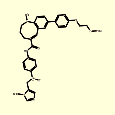 CCCCOCCOc1ccc(-c2ccc3c(c2)/C=C(/C(=O)Nc2ccc([S@@+]([O-])Cc4cncn4CCC)cc2)CCCN3CCC)cc1